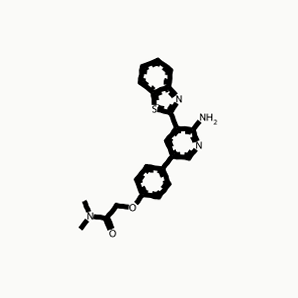 CN(C)C(=O)COc1ccc(-c2cnc(N)c(-c3nc4ccccc4s3)c2)cc1